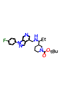 CCC(NCc1cncc2c1cnn2-c1ccc(F)cc1)C1CCCN(C(=O)OC(C)(C)C)C1